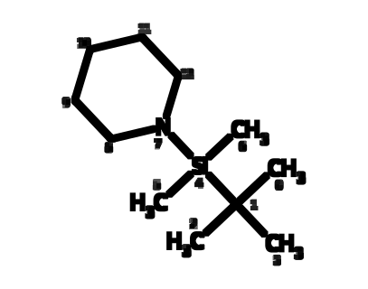 CC(C)(C)[Si](C)(C)N1CCCCC1